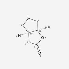 O=S1O[C@H]2CCC[C@H]2O1